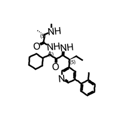 CC[C@H](C(=N)C(=O)[C@@H](NC(=O)[C@H](C)NC)C1CCCCC1)c1cncc(-c2ccccc2C)c1